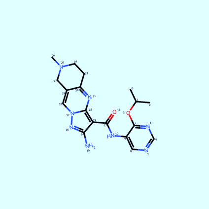 CC(C)Oc1ncncc1NC(=O)c1c(N)nn2cc3c(nc12)CCN(C)C3